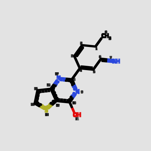 CC/C=C\C(=C/C=N)c1nc(O)c2sccc2n1